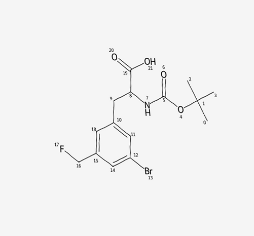 CC(C)(C)OC(=O)NC(Cc1cc(Br)cc(CF)c1)C(=O)O